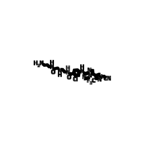 N#CCn1cc(-c2cnc3c(Nc4ccc(C(=O)NCCNCC(=O)NCCCN)c(Cl)c4)nccn23)c(C(F)(F)F)n1